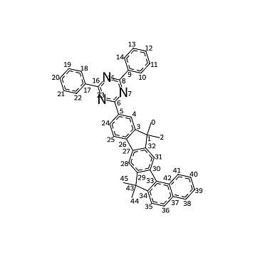 CC1(C)c2cc(-c3nc(-c4ccccc4)nc(-c4ccccc4)n3)ccc2-c2cc3c(cc21)-c1c(ccc2ccccc12)C3(C)C